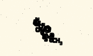 COC(=O)c1cc(CN(C(=O)OC2CN3CCC2CC3)c2ccccc2F)cs1